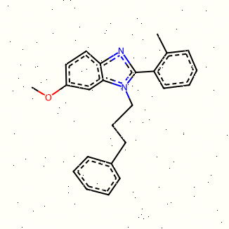 COc1ccc2nc(-c3ccccc3C)n(CCCc3ccccc3)c2c1